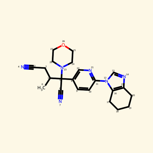 CC(CC#N)C(C#N)(c1ccc(-n2cnc3c2CCCC3)nc1)N1CCOCC1